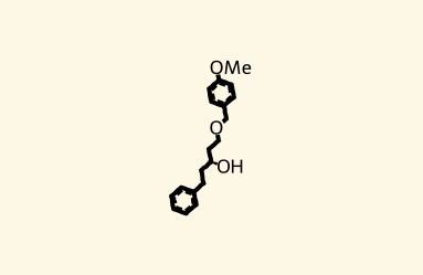 COc1ccc(COCC[C@@H](O)CCc2ccccc2)cc1